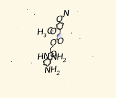 COc1cc(OC#N)ccc1/C=C/C(=O)OCCC(=O)Nc1ccc(N)cc1N